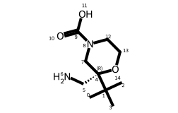 CC(C)(C)[C@@]1(CN)CN(C(=O)O)CCO1